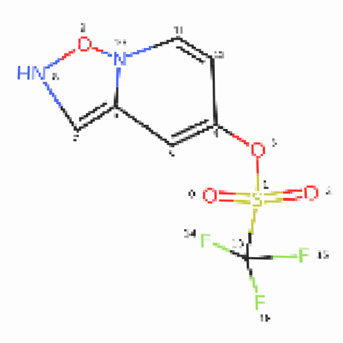 O=S(=O)(OC1=CC2=CNON2C=C1)C(F)(F)F